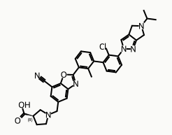 Cc1c(-c2nc3cc(CN4CC[C@@H](C(=O)O)C4)cc(C#N)c3o2)cccc1-c1cccc(-n2cc3c(n2)CN(C(C)C)C3)c1Cl